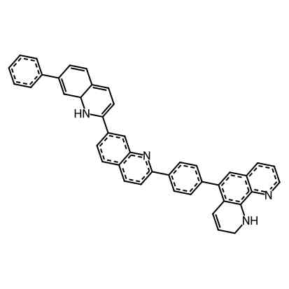 C1=Cc2c(-c3ccc(-c4ccc5ccc(C6=CC=C7C=CC(c8ccccc8)=CC7N6)cc5n4)cc3)cc3cccnc3c2NC1